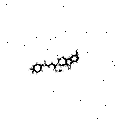 CC(C)C[C@H]1c2[nH]c3ccc(Cl)cc3c2CCN1C(=O)CCNC1CCC(F)(F)CC1